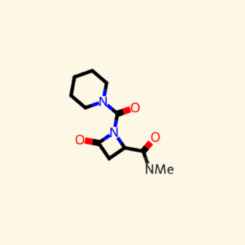 CNC(=O)C1CC(=O)N1C(=O)N1CCCCC1